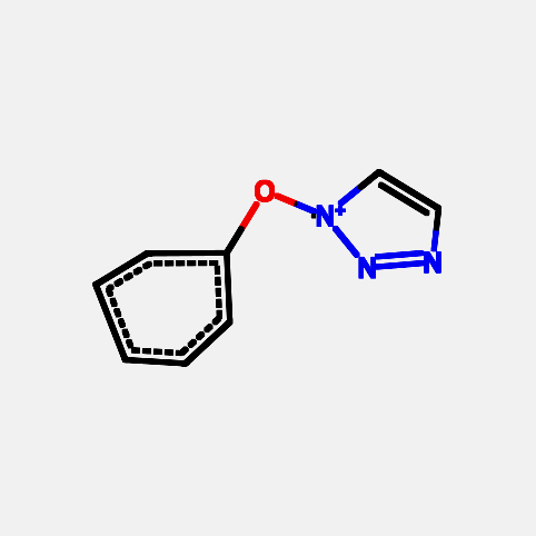 C1=C[N+](Oc2ccccc2)N=N1